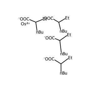 CCCCC(CC)C(=O)[O-].CCCCC(CC)C(=O)[O-].CCCCC(CC)C(=O)[O-].CCCCC(CC)C(=O)[O-].[Os+4]